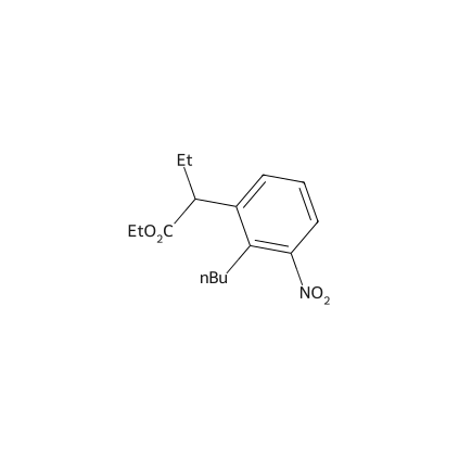 CCCCc1c(C(CC)C(=O)OCC)cccc1[N+](=O)[O-]